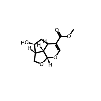 COC(=O)C1=CO[C@@H]2OC[C@H]3[C@@H]2[C@@H]1C[C@@H]3O